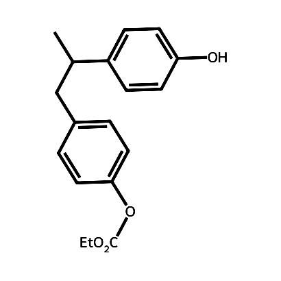 CCOC(=O)Oc1ccc(CC(C)c2ccc(O)cc2)cc1